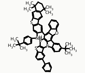 CC(C)(C)c1ccc(Nc2cc3sc4cc5c(cc4c3cc2-c2c3c4c(c6cc(C(C)(C)C)ccc6n4-c4c(sc6ccc(-c7ccccc7)cc46)B3)c3oc4ccccc4c23)C(C)(C)CCC5(C)C)cc1